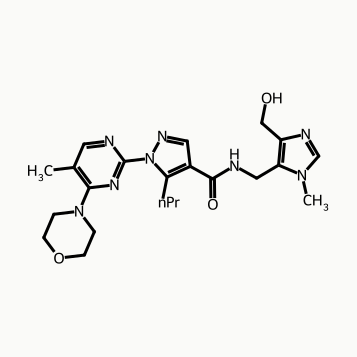 CCCc1c(C(=O)NCc2c(CO)ncn2C)cnn1-c1ncc(C)c(N2CCOCC2)n1